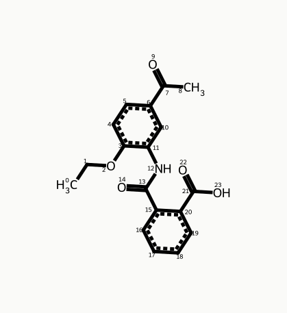 CCOc1ccc(C(C)=O)cc1NC(=O)c1ccccc1C(=O)O